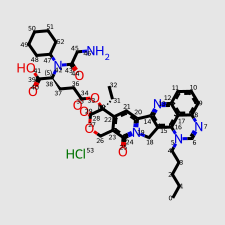 CCCCCN1C=Nc2cccc3nc4c(c1c23)Cn1c-4cc2c(c1=O)COC(=O)[C@@]2(CC)OC(=O)CC[C@@H](C(=O)O)N(C(=O)CN)C1CCCCC1.Cl